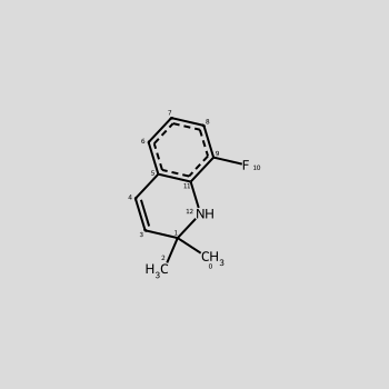 CC1(C)C=Cc2cccc(F)c2N1